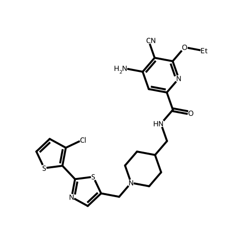 CCOc1nc(C(=O)NCC2CCN(Cc3cnc(-c4sccc4Cl)s3)CC2)cc(N)c1C#N